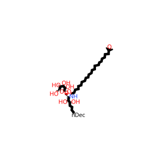 CCCCCCCCCCCCCC[C@@H](O)[C@@H](O)[C@H](CO[C@H]1O[C@H](CO)[C@H](O)[C@H](O)[C@H]1O)NC(=O)CCCCCCCCCCCCCCCCCCCCCC1COC1